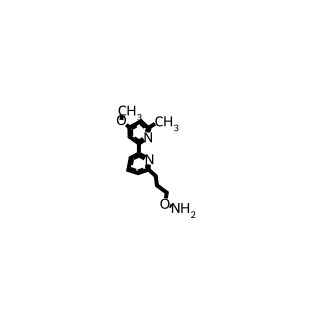 COc1cc(C)nc(-c2cccc(CCCON)n2)c1